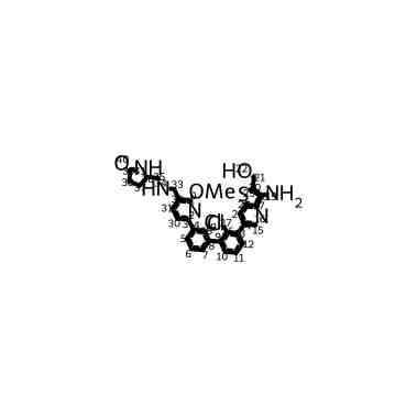 COc1nc(-c2cccc(-c3cccc(-c4cnc5c(N)c(CO)sc5c4)c3Cl)c2Cl)ccc1CNCC1CCC(=O)N1